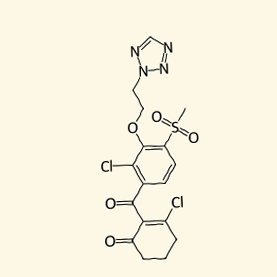 CS(=O)(=O)c1ccc(C(=O)C2=C(Cl)CCCC2=O)c(Cl)c1OCCn1ncnn1